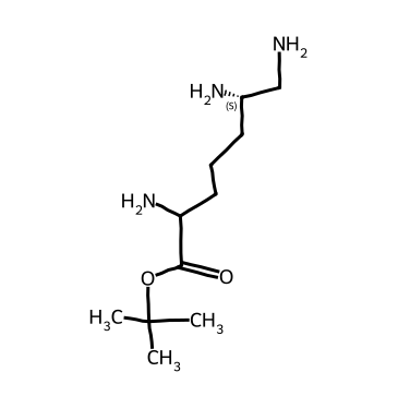 CC(C)(C)OC(=O)C(N)CCC[C@H](N)CN